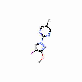 CCOc1nn(-c2ncc(CC)cn2)cc1I